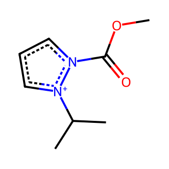 COC(=O)n1ccc[n+]1C(C)C